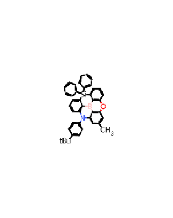 Cc1cc2c3c(c1)N(c1ccc(C(C)(C)C)cc1)c1cccc4c1B3c1c(cccc1[Si]4(c1ccccc1)c1ccccc1)O2